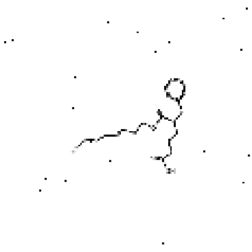 CCCCCCCCOC(=O)C(CCCC(=O)O)Cc1ccccc1